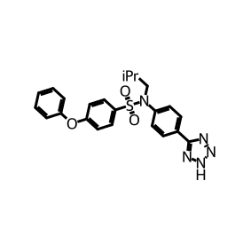 CC(C)CN(c1ccc(-c2nn[nH]n2)cc1)S(=O)(=O)c1ccc(Oc2ccccc2)cc1